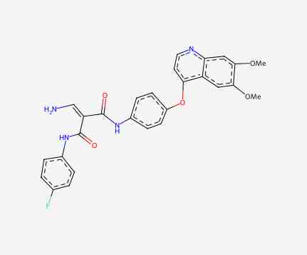 COc1cc2nccc(Oc3ccc(NC(=O)/C(=C/N)C(=O)Nc4ccc(F)cc4)cc3)c2cc1OC